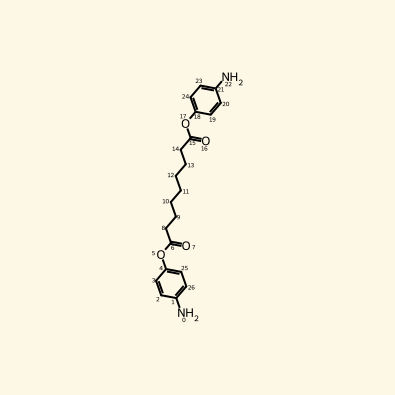 Nc1ccc(OC(=O)CCCCCCCC(=O)Oc2ccc(N)cc2)cc1